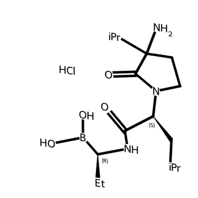 CC[C@H](NC(=O)[C@H](CC(C)C)N1CCC(N)(C(C)C)C1=O)B(O)O.Cl